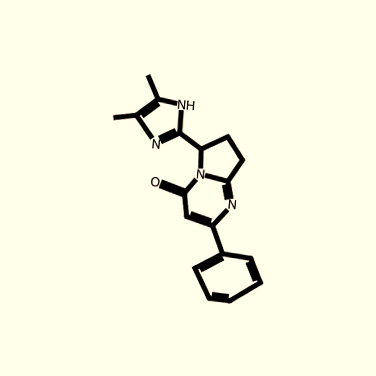 Cc1nc(C2CCc3nc(-c4ccccc4)cc(=O)n32)[nH]c1C